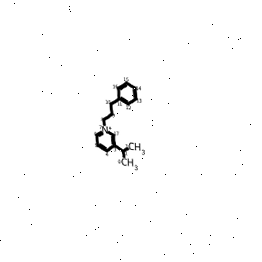 CC(C)c1ccc[n+](CCCc2ccccc2)c1